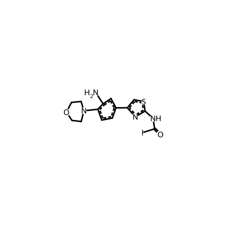 Nc1cc(-c2csc(NC(=O)I)n2)ccc1N1CCOCC1